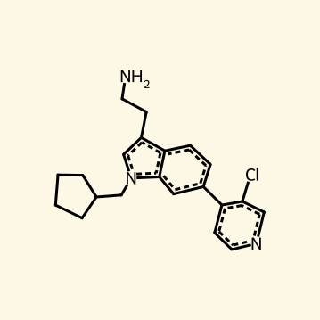 NCCc1cn(CC2CCCC2)c2cc(-c3ccncc3Cl)ccc12